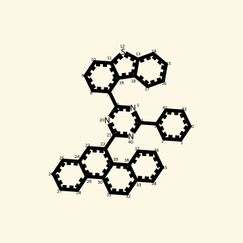 c1ccc(-c2nc(-c3cccc4sc5ccccc5c34)nc(-c3cc4ccccc4c4ccc5ccccc5c34)n2)cc1